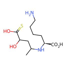 CC(CC(O)C(O)=S)N[C@@H](CCCCN)C(=O)O